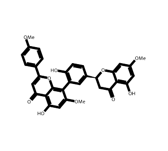 COc1ccc(-c2cc(=O)c3c(O)cc(OC)c(-c4cc([C@@H]5CC(=O)c6c(O)cc(OC)cc6O5)ccc4O)c3o2)cc1